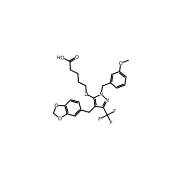 COc1cccc(Cn2nc(C(F)(F)F)c(Cc3ccc4c(c3)OCO4)c2OCCCCC(=O)O)c1